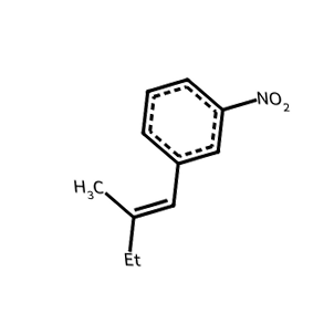 CC/C(C)=C/c1cccc([N+](=O)[O-])c1